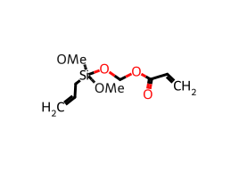 C=CC[Si](OC)(OC)OCOC(=O)C=C